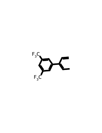 C=C/C(=C\C)c1cc(C(F)(F)F)cc(C(F)(F)F)c1